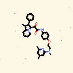 Cc1cc(C)nc(N(C)CCOc2ccc(NC(=O)C(=O)c3c(-c4ccccc4)c(C)c4ccccn34)cc2)c1